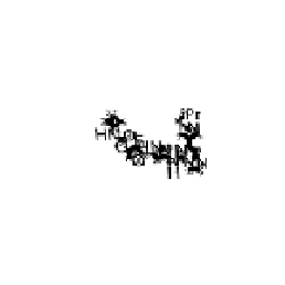 CC(C)Cn1cc(-c2cc3nccn3c(Nc3cc([C@@H]4OC[C@H](OC(=O)NC56CC(C5)C6)[C@@H]4F)[nH]n3)n2)cn1